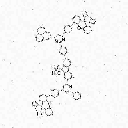 CC1(C)c2cc(-c3ccc(-c4nc(-c5ccc(-c6cccc7c6Oc6ccccc6C76c7ccccc7-c7ccccc76)cc5)cc(-c5cc6c7c(cccc7c5)CC=C6)n4)cc3)ccc2-c2ccc(-c3cc(-c4ccc(-c5cccc6c5Oc5ccccc5C65c6ccccc6-c6ccccc65)cc4)nc(-c4ccccc4)n3)cc21